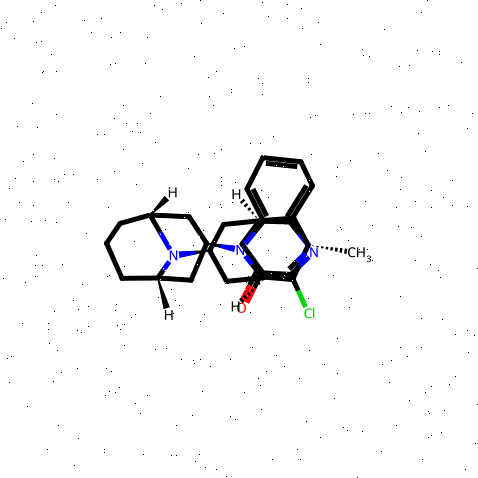 C[C@@H]1C[C@@H]2C[C@H](C1)C[C@H](N1[C@@H]3CCC[C@H]1C[C@H](n1c(=O)c(Cl)nc4ccccc41)C3)C2